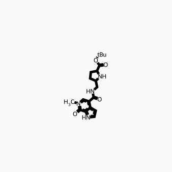 Cn1cc(C(=O)NCC2CCC(C(=O)OC(C)(C)C)N2)c2cc[nH]c2c1=O